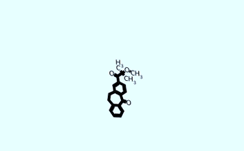 COC(C)(C)C(=O)c1ccc2c(c1)CCc1ccccc1C2=O